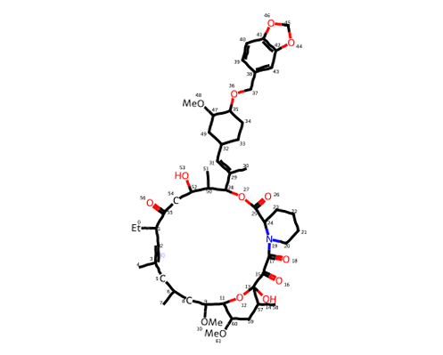 CCC1/C=C(\C)CC(C)CC(OC)C2OC(O)(C(=O)C(=O)N3CCCCC3C(=O)OC(C(C)=CC3CCC(OCc4ccc5c(c4)OCO5)C(OC)C3)C(C)C(O)CC1=O)C(C)CC2OC